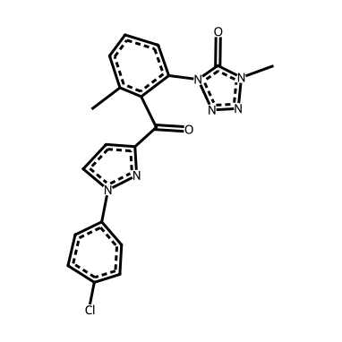 Cc1cccc(-n2nnn(C)c2=O)c1C(=O)c1ccn(-c2ccc(Cl)cc2)n1